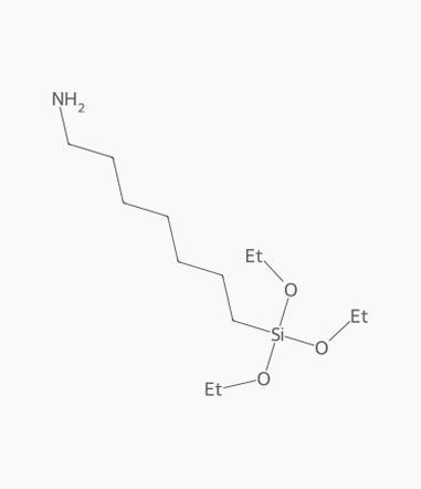 CCO[Si](CCCCCCCN)(OCC)OCC